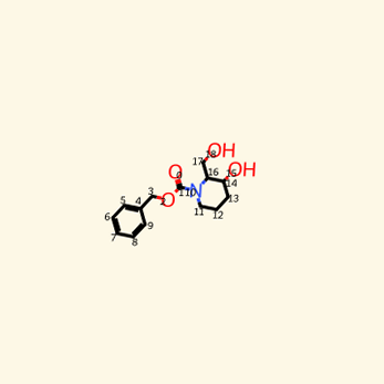 O=C(OCc1ccccc1)N1CCCC(O)C1CO